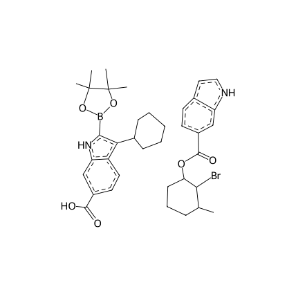 CC1(C)OB(c2[nH]c3cc(C(=O)O)ccc3c2C2CCCCC2)OC1(C)C.CC1CCCC(OC(=O)c2ccc3cc[nH]c3c2)C1Br